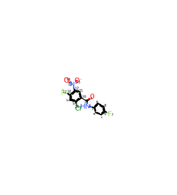 O=C(Nc1ccc(F)cc1)c1cc([N+](=O)[O-])c(F)cc1Cl